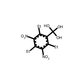 CCc1c([N+](=O)[O-])c(CC)c(C(O)(O)O)c(CC)c1[N+](=O)[O-]